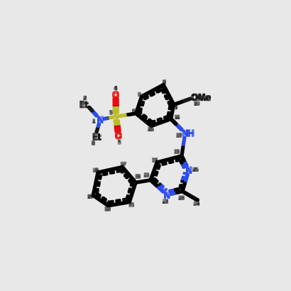 CCN(CC)S(=O)(=O)c1ccc(OC)c(Nc2cc(-c3ccccc3)nc(C)n2)c1